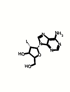 Nc1ncnc2c1ncn2[C@@H]1OC(CO)C(O)[C@@H]1I